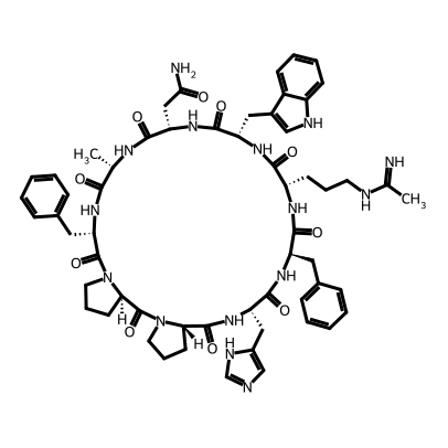 CC(=N)NCCC[C@@H]1NC(=O)[C@@H](Cc2ccccc2)NC(=O)[C@H](Cc2cnc[nH]2)NC(=O)[C@@H]2CCCN2C(=O)[C@H]2CCCN2C(=O)[C@H](Cc2ccccc2)NC(=O)[C@H](C)NC(=O)[C@H](CC(N)=O)NC(=O)[C@H](Cc2c[nH]c3ccccc23)NC1=O